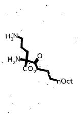 CCCCCCCCCCCC(=O)C(N)(CCCN)C(=O)O